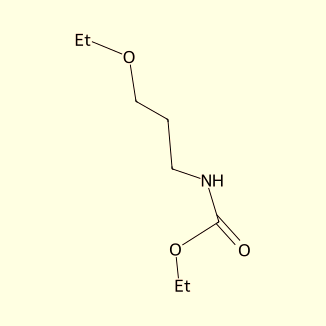 CCOCCCNC(=O)OCC